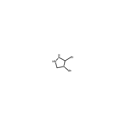 CC(C)C1NNCN1C(C)C